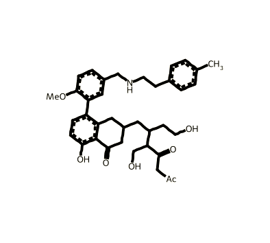 COc1ccc(CNCCc2ccc(C)cc2)cc1-c1ccc(O)c2c1CC(CC(CCO)C(CO)C(=O)CC(C)=O)CC2=O